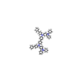 C1=CC2c3cc(N(c4ccc(-c5ccccc5)cc4)c4ccc(-c5ccc(N(c6ccc(-c7ccccc7)cc6)c6ccc7c(c6)c6ccccc6n7-c6ccccc6)cc5)cc4)ccc3N(c3ccccc3)C2C=C1